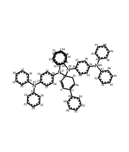 C1=CC(N(c2ccccc2)c2ccc(N(c3ccccc3)c3ccccc3)cc2)(N(c2ccccc2)c2ccc(N(c3ccccc3)c3ccccc3)cc2)CC=C1c1ccccc1